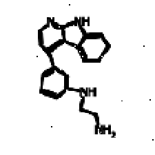 NCCNc1cccc(-c2ccnc3[nH]c4c(c23)=CCCC=4)c1